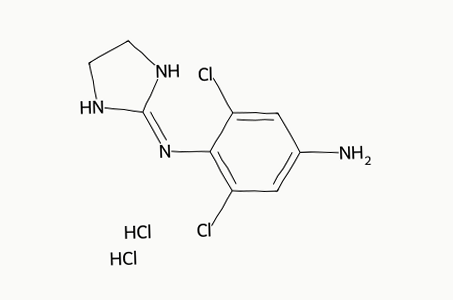 Cl.Cl.Nc1cc(Cl)c(N=C2NCCN2)c(Cl)c1